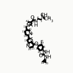 CN(C)CCNC(=O)C1CN(Cc2ccc(-c3cc4nccc(Oc5ccc(NC(=O)NC6CC6)cc5F)c4s3)nc2)C1